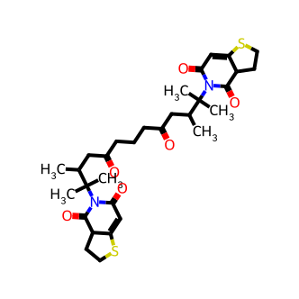 CC(CC(=O)CCCC(=O)CC(C)C(C)(C)N1C(=O)C=C2SCCC2C1=O)C(C)(C)N1C(=O)C=C2SCCC2C1=O